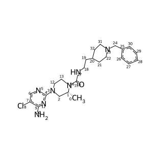 C[C@@H]1CN(c2ncc(Cl)c(N)n2)CCN1C(=O)NCCC1CCN(Cc2ccccc2)CC1